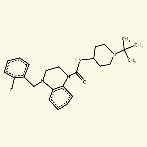 CC(C)(C)N1CCC(NC(=O)N2CCN(Cc3ccccc3F)c3ccccc32)CC1